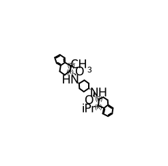 CC(C)[C@H]1c2ccccc2CC[C@H]1C(=O)N[C@H]1CC[C@H](NC(=O)[C@@H]2CCc3ccccc3[C@@H]2C)CC1